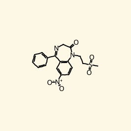 CS(=O)(=O)CCN1C(=O)CN=C(c2ccccc2)c2cc([N+](=O)[O-])ccc21